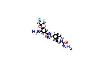 NCC(=O)N1CCc2ccc(-c3noc(-c4ccc(OC(CF)CF)c(N)c4)n3)cc2CC1